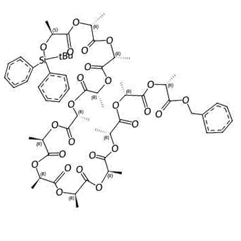 C[C@H](O[Si](c1ccccc1)(c1ccccc1)C(C)(C)C)C(=O)O[C@H](C)C(=O)O[C@H](C)C(=O)O[C@H](C)C(=O)O[C@H](C)C(=O)O[C@H](C)C(=O)O[C@H](C)C(=O)O[C@H](C)C(=O)O[C@H](C)C(=O)O[C@H](C)C(=O)O[C@H](C)C(=O)O[C@H](C)C(=O)OCc1ccccc1